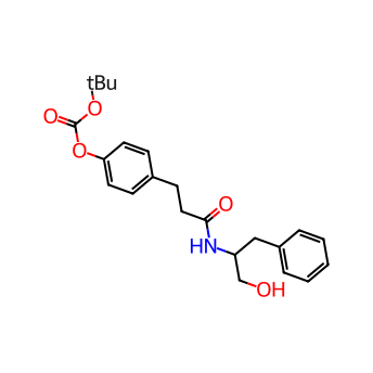 CC(C)(C)OC(=O)Oc1ccc(CCC(=O)NC(CO)Cc2ccccc2)cc1